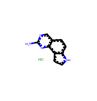 Cl.Nc1ncc2ccc3[nH]ccc3c2n1